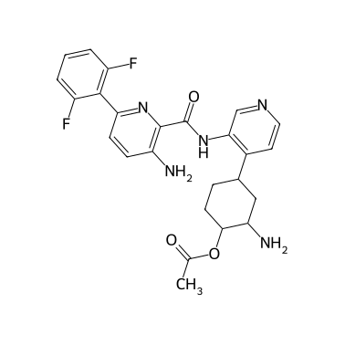 CC(=O)OC1CCC(c2ccncc2NC(=O)c2nc(-c3c(F)cccc3F)ccc2N)CC1N